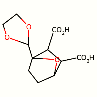 O=C(O)C1C2CCC(C3OCCO3)(O2)C1C(=O)O